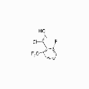 ON=C(Cl)c1c(F)cccc1C(F)(F)F